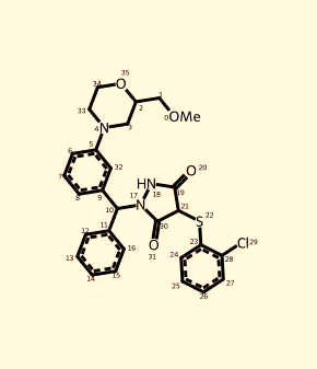 COCC1CN(c2cccc(C(c3ccccc3)N3NC(=O)C(Sc4ccccc4Cl)C3=O)c2)CCO1